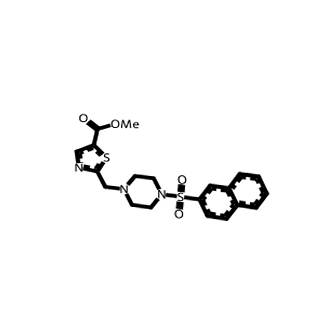 COC(=O)c1cnc(CN2CCN(S(=O)(=O)c3ccc4ccccc4c3)CC2)s1